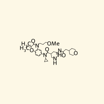 COCCCN1C(=O)C(C)(C)Oc2ccc(N(C(=O)C3CNC[C@@H](NC(=O)CC4CCOCC4)C3)C3CC3)cc21